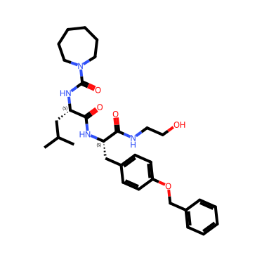 CC(C)C[C@H](NC(=O)N1CCCCCC1)C(=O)N[C@@H](Cc1ccc(OCc2ccccc2)cc1)C(=O)NCCO